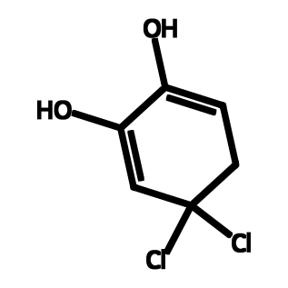 OC1=CCC(Cl)(Cl)C=C1O